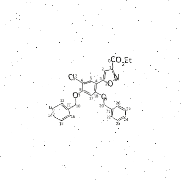 CCOC(=O)c1cc(-c2cc(Cl)c(OCc3ccccc3)cc2OCc2ccccc2)on1